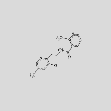 O=C(NCCc1ncc(C(F)(F)F)cc1Cl)c1cccnc1C(F)(F)F